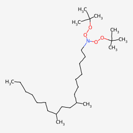 CCCCCCCC(C)CCC(C)CCCCCCCN(OOC(C)(C)C)OOC(C)(C)C